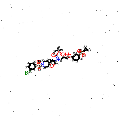 CC(C)(C)OC(=O)N(C[C@H](O)COc1cccc(S(=O)(=O)C2CC2)c1)[C@H]1COC2(CCN(S(=O)(=O)c3cccc(Br)c3)CC2)C1